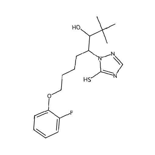 CC(C)(C)C(O)C(CCCCOc1ccccc1F)n1ncnc1S